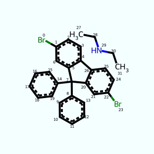 Brc1ccc2c(c1)C(c1ccccc1)(c1ccccc1)c1cc(Br)ccc1-2.CCNCC